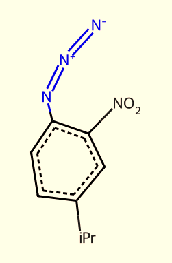 CC(C)c1ccc(N=[N+]=[N-])c([N+](=O)[O-])c1